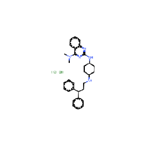 CN(C)c1nc(NC2CCC(NCCC(c3ccccc3)c3ccccc3)CC2)nc2ccccc12.Cl.Cl